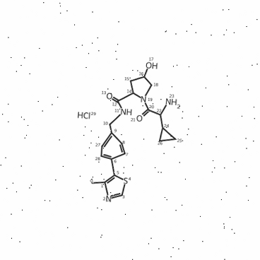 Cc1ncsc1-c1ccc(CNC(=O)C2CC(O)CN2C(=O)C(N)C2CC2)cc1.Cl